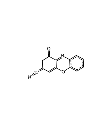 [N-]=[N+]=C1C=C2Oc3ccccc3N=C2C(=O)C1